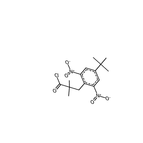 CC(C)(Cc1c([N+](=O)[O-])cc(C(C)(C)C)cc1[N+](=O)[O-])C(=O)Cl